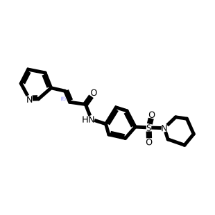 O=C(/C=C/c1cccnc1)Nc1ccc(S(=O)(=O)N2CCCCC2)cc1